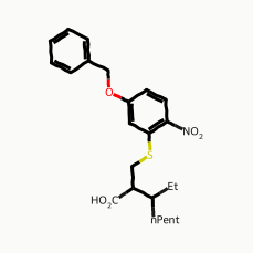 CCCCCC(CC)C(CSc1cc(OCc2ccccc2)ccc1[N+](=O)[O-])C(=O)O